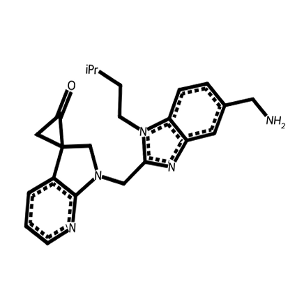 CC(C)CCn1c(CN2CC3(CC3=O)c3cccnc32)nc2cc(CN)ccc21